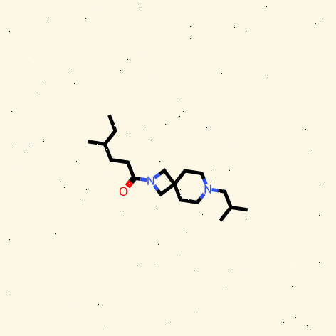 CCC(C)CCC(=O)N1CC2(CCN(CC(C)C)CC2)C1